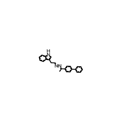 C/C(=N\N=C\Cc1c[nH]c2ccccc12)c1ccc(-c2ccccc2)cc1